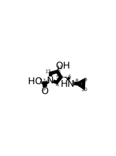 O=C(O)N1C[C@@H](CNC2CC2)[C@@H](O)C1